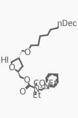 CCCCCCCCCCCCCCCCOC[C@H]1CO[C@H](COC(=O)[N+](CC)(C[n+]2ccccc2)C(=O)OCC)C1.I